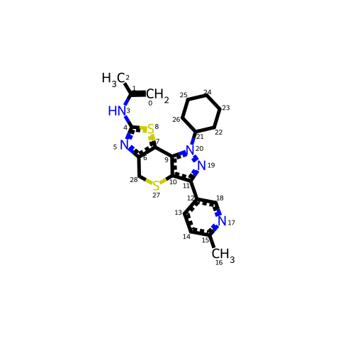 C=C(C)Nc1nc2c(s1)-c1c(c(-c3ccc(C)nc3)nn1C1CCCCC1)SC2